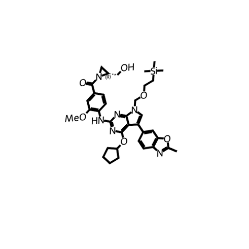 COc1cc(C(=O)N2C[C@@H]2CO)ccc1Nc1nc(OC2CCCC2)c2c(-c3ccc4nc(C)oc4c3)cn(COCC[Si](C)(C)C)c2n1